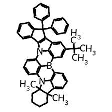 CC(C)(C)c1cc2c3c(c1)c1c(n3-c3cccc4c3B2c2cccc3c2N4C2(C)CCCCC32C)-c2ccccc2C1(c1ccccc1)c1ccccc1